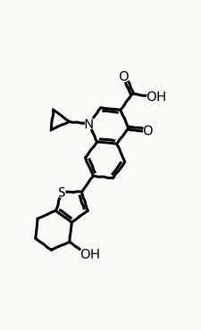 O=C(O)c1cn(C2CC2)c2cc(-c3cc4c(s3)CCCC4O)ccc2c1=O